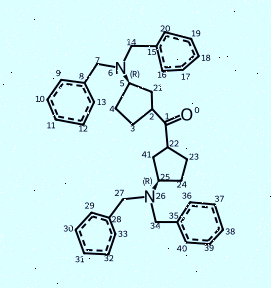 O=C(C1CC[C@@H](N(Cc2ccccc2)Cc2ccccc2)C1)C1CC[C@@H](N(Cc2ccccc2)Cc2ccccc2)C1